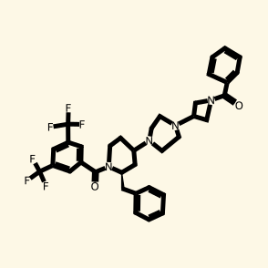 O=C(c1ccccc1)N1CC(N2CCN(C3CCN(C(=O)c4cc(C(F)(F)F)cc(C(F)(F)F)c4)[C@H](Cc4ccccc4)C3)CC2)C1